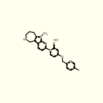 Cl.Cn1c2c(c3ccc(-n4ccc(OCc5ccc(F)cn5)cc4=O)nc31)CNCCC2